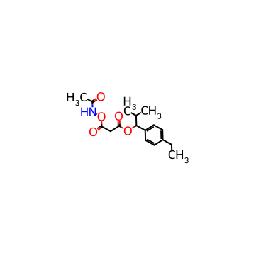 CCc1ccc(C(OC(=O)CC(=O)ONC(C)=O)C(C)C)cc1